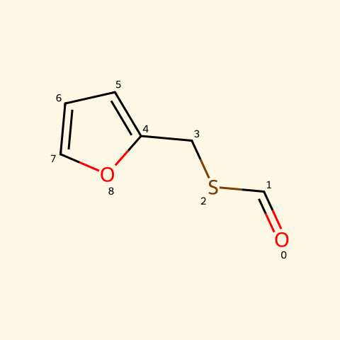 O=CSCc1ccco1